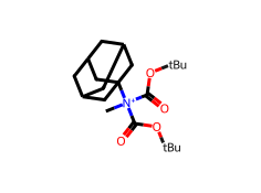 CC(C)(C)OC(=O)[N+](C)(C(=O)OC(C)(C)C)C12CC3CC(CC(C3)C1)C2